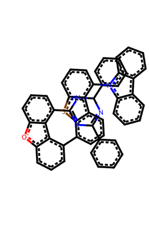 c1ccc(C2=NC(c3ccccc3)NC(c3cccc4oc5cccc(-c6cccc7c6sc6cccc(-n8c9ccccc9c9ccccc98)c67)c5c34)=N2)cc1